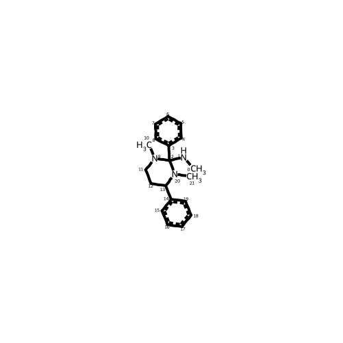 CNC1(c2ccccc2)N(C)CCC(c2ccccc2)N1C